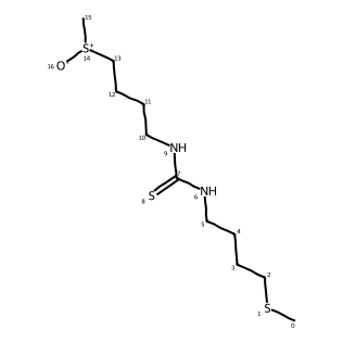 CSCCCCNC(=S)NCCCC[S+](C)[O-]